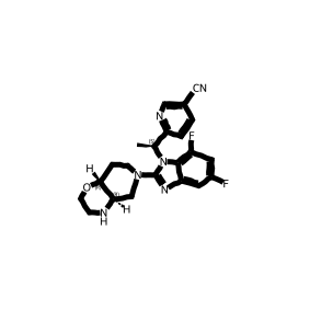 C[C@@H](c1ccc(C#N)cn1)n1c(N2CC[C@H]3OCCN[C@@H]3C2)nc2cc(F)cc(F)c21